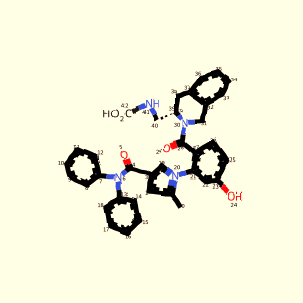 Cc1cc(C(=O)N(c2ccccc2)c2ccccc2)cn1-c1cc(O)ccc1C(=O)N1Cc2ccccc2C[C@H]1CNC(=O)O